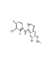 COc1cc2ncnc(Nc3ccc(F)c(Cl)c3F)c2cc1Br